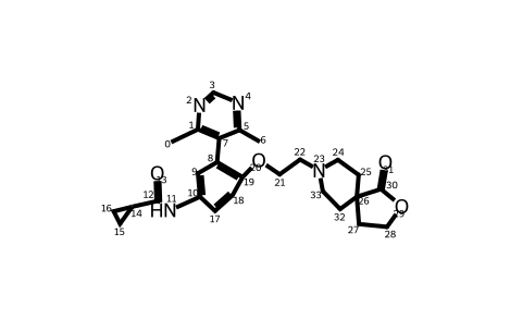 Cc1ncnc(C)c1-c1cc(NC(=O)C2CC2)ccc1OCCN1CCC2(CCOC2=O)CC1